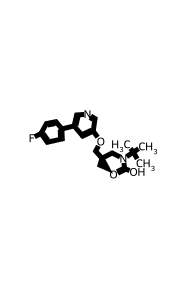 CC(C)(C)N(CC1(COc2cncc(-c3ccc(F)cc3)c2)CC1)C(=O)O